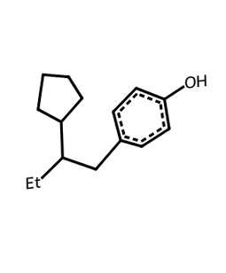 CCC(Cc1ccc(O)cc1)C1CCCC1